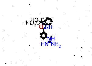 N=C(N)Nc1cccc(C(=O)NC2(/C=C/C(=O)O)C=CC=CC2C(=O)O)c1